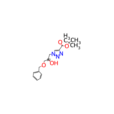 CC(C)(C)OC(=O)c1cn(C[C@@H](O)COCc2ccccc2)nn1